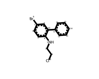 ClCCNc1ccc(Br)cc1-c1ccccc1